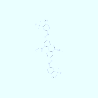 NC(=O)c1cc(N=Nc2ccc(O)c(C(F)(F)F)c2)ccc1-c1ccc(N=Nc2ccc(O)c(C(F)(F)F)c2)cc1NC=O